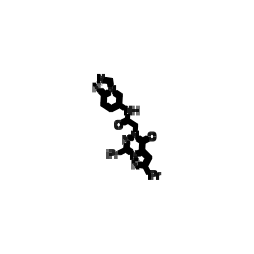 CC(C)c1cc2c(=O)n(CC(=O)Nc3ccc4nncn4c3)nc(C(C)C)n2n1